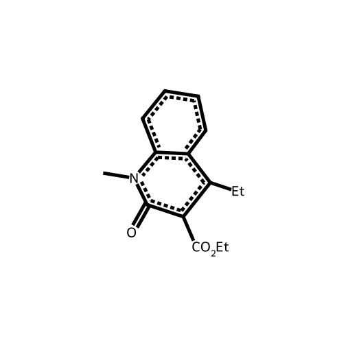 CCOC(=O)c1c(CC)c2ccccc2n(C)c1=O